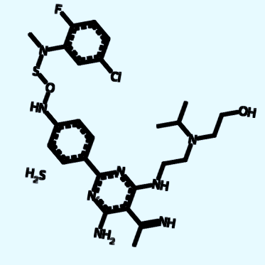 CC(=N)c1c(N)nc(-c2ccc(NOSN(C)c3cc(Cl)ccc3F)cc2)nc1NCCN(CCO)C(C)C.S